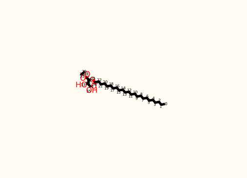 CCCCCCCCCCCCCCCCCCCCCCCC(=O)O[C@@H](C1OCCO1)[C@H](O)CO